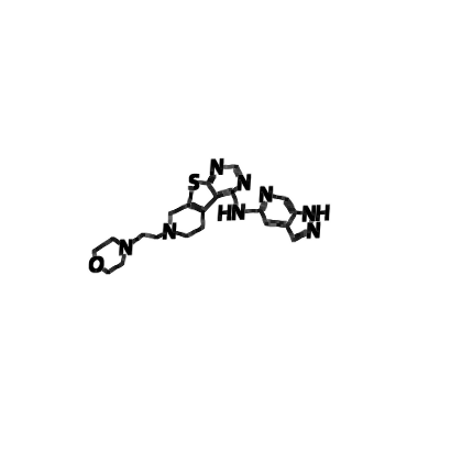 c1nc(Nc2cc3cn[nH]c3cn2)c2c3c(sc2n1)CN(CCN1CCOCC1)CC3